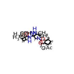 CC(=O)OC[C@@H](OC(=O)N1Cc2c(NC(=O)C3(S(C)(C)C)CCC3)n[nH]c2C1(C)C)c1ccccc1